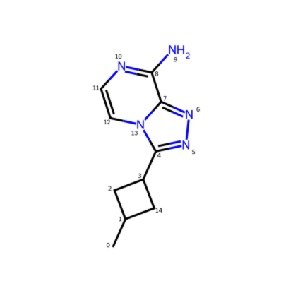 CC1CC(c2nnc3c(N)nccn23)C1